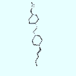 CCCC=C[C@H]1CC[C@H](CC[C@H]2CC[C@H](COC)CC2)CC1